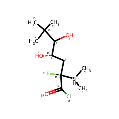 C[SiH](C)[C@@](F)(C[C@H](O)C(O)C(C)(C)C)C(=O)Cl